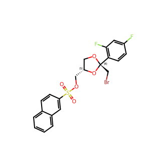 O=S(=O)(OC[C@@H]1CO[C@](CBr)(c2ccc(F)cc2F)O1)c1ccc2ccccc2c1